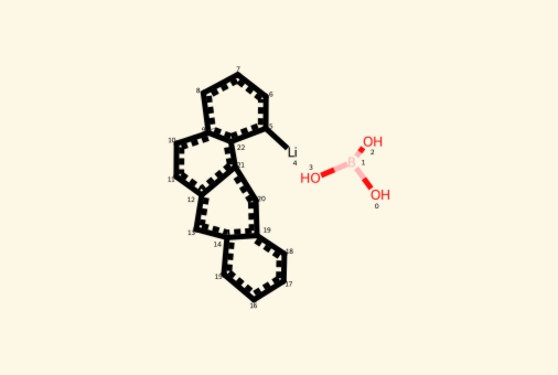 OB(O)O.[Li][c]1cccc2ccc3cc4ccccc4cc3c12